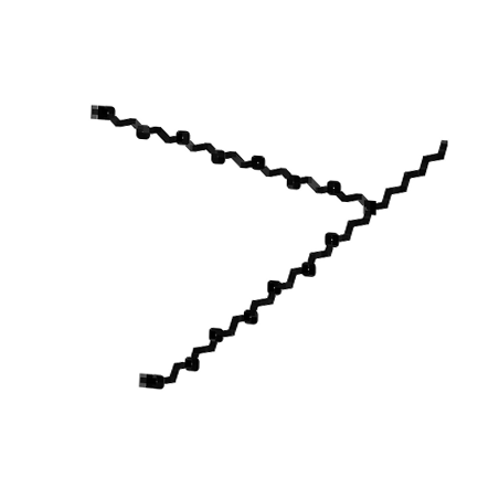 CCCCCCCCN(CCCOCCOCCOCCOCCOCCOCCO)CCOCCOCCOCCOCCOCCOCCO